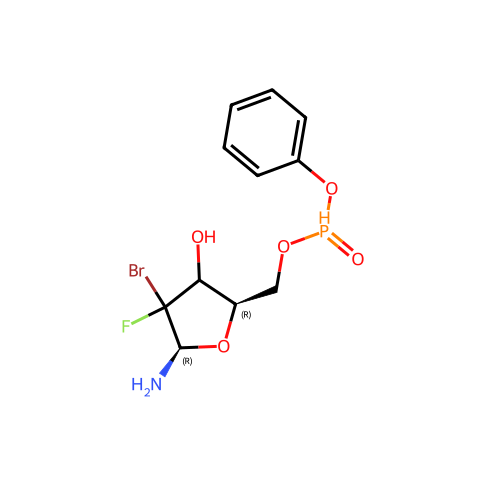 N[C@@H]1O[C@H](CO[PH](=O)Oc2ccccc2)C(O)C1(F)Br